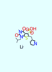 CC(C)Cn1c(=O)n(C)c(=O)c2c(S(=O)(=O)O)c(Cc3cccnc3)sc21.[Li]